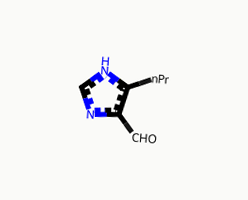 CCCc1[nH]cnc1C=O